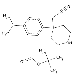 CC(C)(C)OC=O.CC(C)c1ccc(C2(CC#N)CCNCC2)cc1